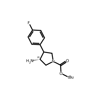 CC(C)(C)OC(=O)N1CC(c2ccc(F)cc2)[C@@H](N)C1